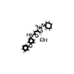 CN1/C(=N/C2CCCCCC2)SCC1CC(=O)Nc1ccc(Oc2ccccc2)cc1.Cl